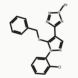 CC(C)n1nnc(-c2cnn(-c3ccccc3Cl)c2SCc2ccccc2)n1